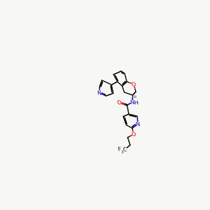 O=C(N[C@@H]1COc2cccc(-c3ccncc3)c2C1)c1ccc(OCCC(F)(F)F)nc1